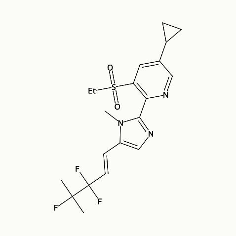 CCS(=O)(=O)c1cc(C2CC2)cnc1-c1ncc(/C=C/C(F)(F)C(C)(C)F)n1C